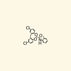 Cc1ccccc1NC(=O)C1Oc2ccc(Cl)cc2Cc2cc(Cl)ccc2O1